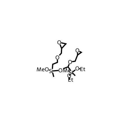 CCO[Si](C)(OCC)C(C)OCC1CO1.CO[Si](C)(CCOCC1CO1)OC